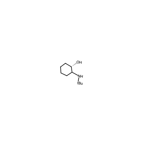 CC(C)(C)NC1CCCC[C@@H]1O